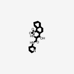 O=C(Nc1cccnc1)C1=C(O)c2ccc3ccccc3c2S(=O)(=O)N1